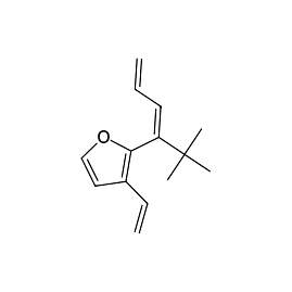 C=C/C=C(\c1occc1C=C)C(C)(C)C